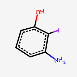 Nc1cccc(O)c1I